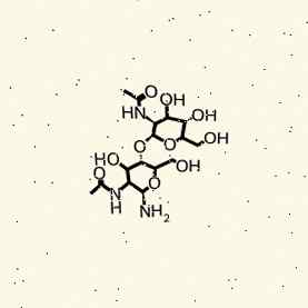 CC(=O)NC1C(O)[C@H](O[C@@H]2OC(CO)[C@@H](O)C(O)[C@@H]2NC(C)=O)C(CO)O[C@H]1N